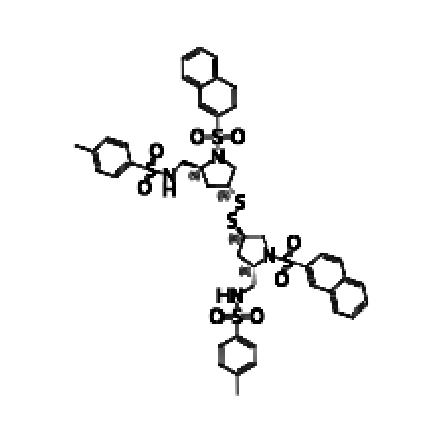 Cc1ccc(S(=O)(=O)NC[C@@H]2C[C@@H](SS[C@@H]3C[C@@H](CNS(=O)(=O)c4ccc(C)cc4)N(S(=O)(=O)c4ccc5ccccc5c4)C3)CN2S(=O)(=O)c2ccc3ccccc3c2)cc1